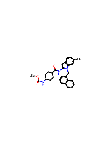 CC(C)(C)OC(=O)NC1CCC(C(=O)Nc2cc3ccc(C#N)cc3n2Cc2cccc3ccccc23)CC1